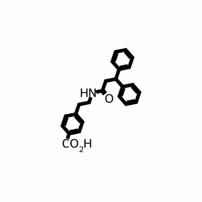 O=C(CC(c1ccccc1)c1ccccc1)NCCc1ccc(C(=O)O)cc1